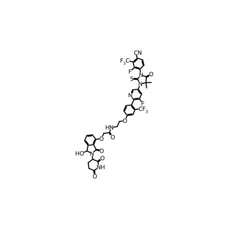 CC1(C)C(=O)N(c2ccc(C#N)c(C(F)(F)F)c2F)C(=S)N1c1cnc(-c2ccc(OCCNC(=O)COc3cccc4c3C(=O)N(C3CCC(=O)NC3=O)C4O)cc2C(F)(F)F)c(F)c1